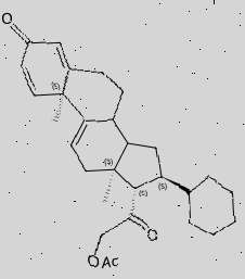 CC(=O)OCC(=O)[C@H]1[C@H](C2CCCCC2)CC2C3CCC4=CC(=O)C=C[C@]4(C)C3=CC[C@@]21C